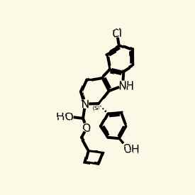 Oc1ccc([C@H]2c3[nH]c4ccc(Cl)cc4c3CCN2C(O)OCC2CCC2)cc1